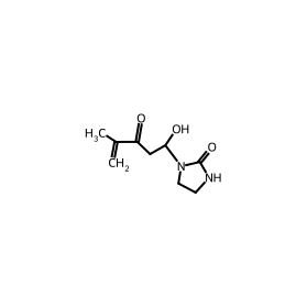 C=C(C)C(=O)CC(O)N1CCNC1=O